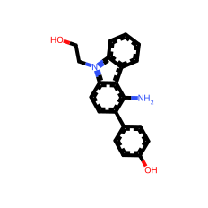 Nc1c(-c2ccc(O)cc2)ccc2c1c1ccccc1n2CCO